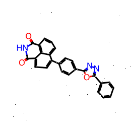 O=C1NC(=O)c2ccc(-c3ccc(-c4nnc(-c5ccccc5)o4)cc3)c3cccc1c23